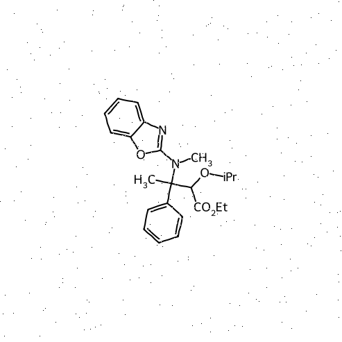 CCOC(=O)C(OC(C)C)C(C)(c1ccccc1)N(C)c1nc2ccccc2o1